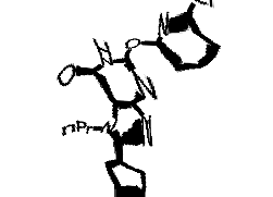 CCCn1c(C2CCCC2)nc2nc(Oc3cccc(Cl)n3)[nH]c(=O)c21